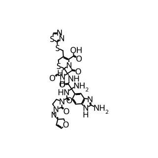 Nc1nc2cc(C(N)(NC(=O)N3CCN(N=C4C=COC4)C3=O)C(=O)N[C@]3(NC=O)C(=O)N4C(C(=O)O)=C(CSc5nncs5)CS[C@H]43)ccc2[nH]1